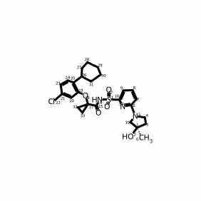 C[C@@]1(O)CCN(c2cccc(S(=O)(=O)NC(=O)C3(Oc4cc(Cl)ccc4C4CCCCC4)CC3)n2)C1